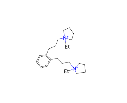 CC[N+]1(CCCc2ccccc2CCC[N+]2(CC)CCCC2)CCCC1